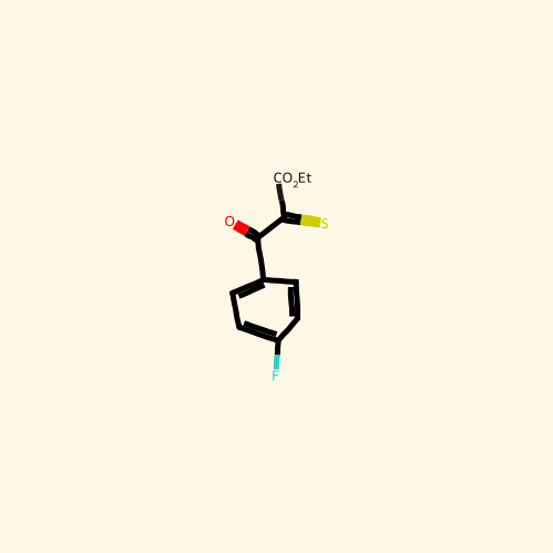 CCOC(=O)C(=S)C(=O)c1ccc(F)cc1